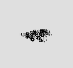 CC[C@H](C)[C@@H]([C@@H](CC(=O)N1CCC[C@H]1[C@H](OC)[C@@H](C)C(O)N[C@@H](Cc1ccccc1)C(=O)OC(C)(C)C)OC)N(C)C(=O)[C@@H](NC(=O)C(C)(C)NC)C(C)C